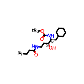 CC(C)CCC(=O)NCC[C@H](O)[C@H](CC1CCCCC1)NC(=O)OC(C)(C)C